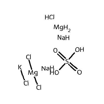 Cl.O=S(=O)(O)O.[Cl][K].[Cl][Mg][Cl].[MgH2].[NaH].[NaH]